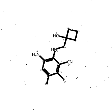 Cc1cc(N)c(NCC2(O)CCC2)c(C#N)c1F